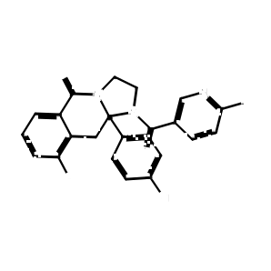 O=C(c1ccc(F)nc1)N1CCN2C(=O)c3cccc(F)c3CC12c1ccc(Cl)cc1